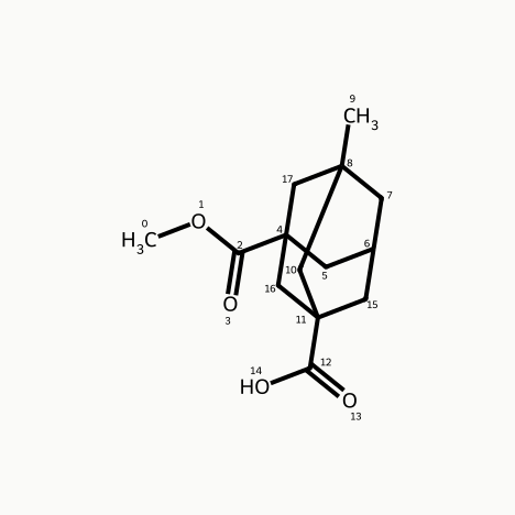 COC(=O)C12CC3CC(C)(CC(C(=O)O)(C3)C1)C2